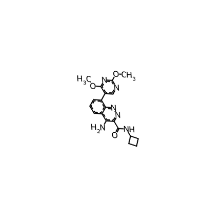 COc1ncc(-c2cccc3c(N)c(C(=O)NC4CCC4)nnc23)c(OC)n1